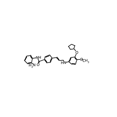 COc1ccc(NCC=Cc2ccc(C(=O)Nc3ccccc3N)cc2)cc1OC1CCCC1